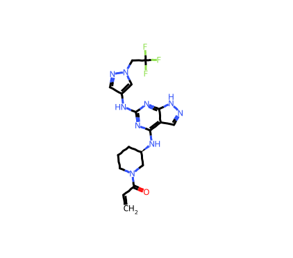 C=CC(=O)N1CCC[C@@H](Nc2nc(Nc3cnn(CC(F)(F)F)c3)nc3[nH]ncc23)C1